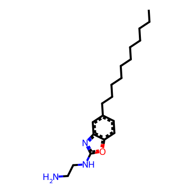 CCCCCCCCCCCc1ccc2oc(NCCN)nc2c1